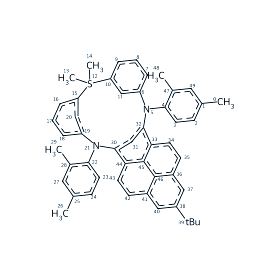 Cc1ccc(N2c3cccc(c3)S(C)(C)c3cccc(c3)N(c3ccc(C)cc3C)c3cc2c2ccc4cc(C(C)(C)C)cc5ccc3c2c45)c(C)c1